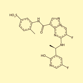 Cc1ccc(S(=O)(=O)O)cc1NC(=O)c1cnn2cc(F)c(N[C@H](C)c3cc(F)cnc3O)nc12